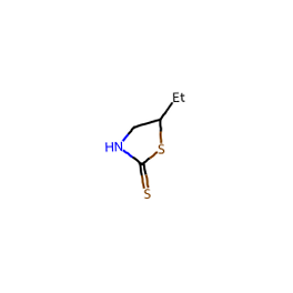 CCC1CNC(=S)S1